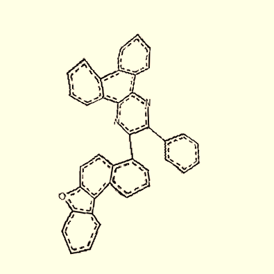 c1ccc(-c2nc3c4ccccc4c4ccccc4c3nc2-c2cccc3c2ccc2oc4ccccc4c23)cc1